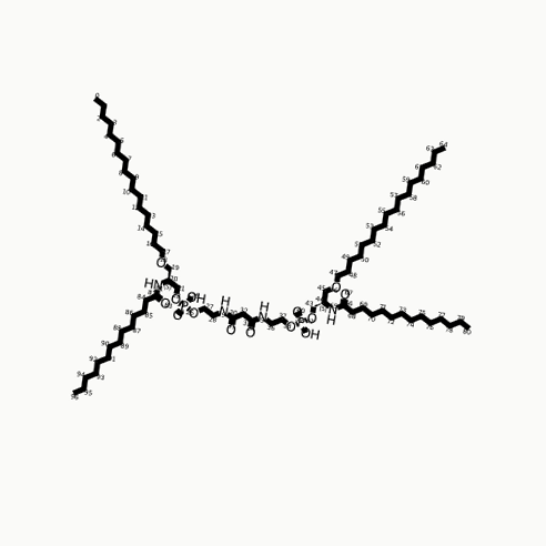 CCCCCCCCCCCCCCCCCCOC[C@@H](COP(=O)(O)OCCNC(=O)CC(=O)NCCOP(=O)(O)OC[C@H](COCCCCCCCCCCCCCCCCCC)NC(=O)CCCCCCCCCCCCC)NC(=O)CCCCCCCCCCCCC